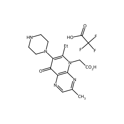 CCc1c(N2CCNCC2)c(=O)c2ncc(C)nc2n1CC(=O)O.O=C(O)C(F)(F)F